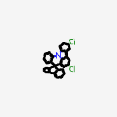 Clc1ccc2c(c1)c1cc(Cl)cc3c1n2-c1ccccc1C31c2ccccc2-c2ccccc21